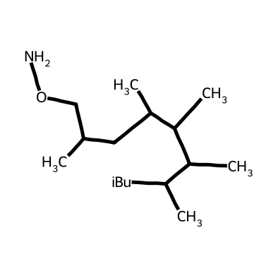 CCC(C)C(C)C(C)C(C)C(C)CC(C)CON